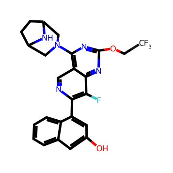 Oc1cc(-c2ncc3c(N4CC5CCC(C4)N5)nc(OCC(F)(F)F)nc3c2F)c2ccccc2c1